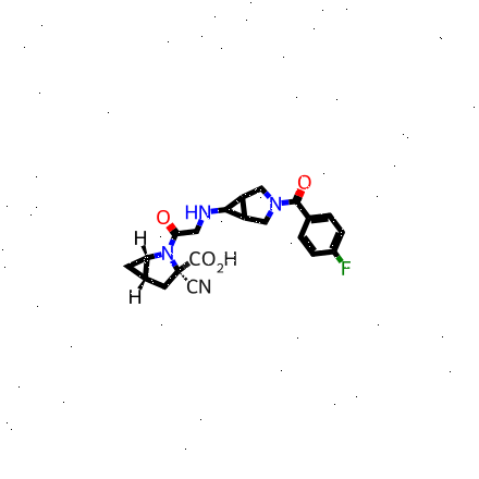 N#C[C@]1(C(=O)O)C[C@@H]2C[C@@H]2N1C(=O)CNC1C2CN(C(=O)c3ccc(F)cc3)CC21